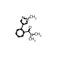 CN(C)C(=O)c1ccccc1-c1cnn(C)c1